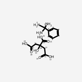 NC(N)(N)c1ccccc1.O=C(O)CC(O)(CC(=O)O)C(=O)O